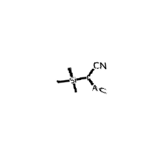 CC(=O)I(C#N)[Si](C)(C)C